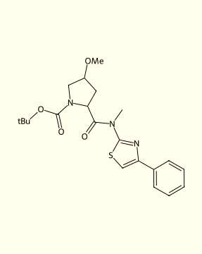 COC1CC(C(=O)N(C)c2nc(-c3ccccc3)cs2)N(C(=O)OC(C)(C)C)C1